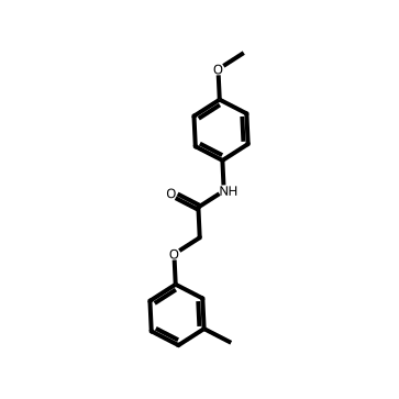 COc1ccc(NC(=O)COc2cccc(C)c2)cc1